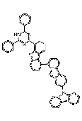 C1=c2c(sc3cccc(-c4cccc5c4sc4cc(-n6c7ccccc7c7ccccc76)ccc45)c23)=C(C2=NC(c3ccccc3)NC(c3ccccc3)=N2)CC1